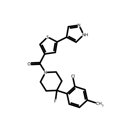 Cc1ccc(C2(F)CCN(C(=O)c3csc(-c4cn[nH]c4)c3)CC2)c(Cl)c1